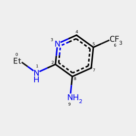 CCNc1ncc(C(F)(F)F)cc1N